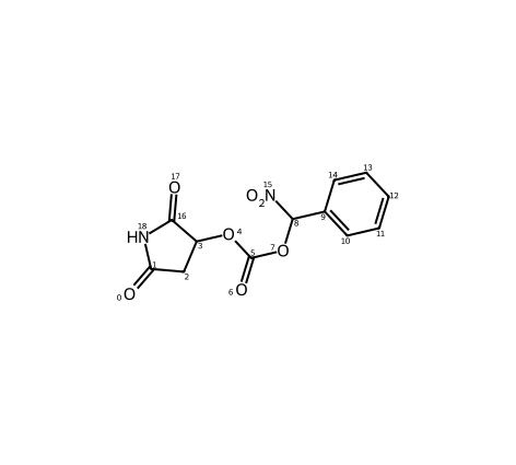 O=C1CC(OC(=O)OC(c2ccccc2)[N+](=O)[O-])C(=O)N1